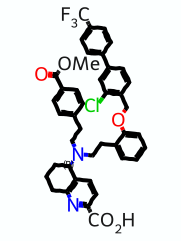 COC(=O)c1ccc(CCN(CCc2ccccc2OCc2ccc(-c3ccc(C(F)(F)F)cc3)cc2Cl)[C@@H]2CCCc3nc(C(=O)O)ccc32)cc1